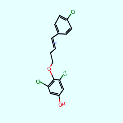 Oc1cc(Cl)c(OCC/C=C/c2ccc(Cl)cc2)c(Cl)c1